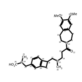 COc1cc2c(cc1OC)CCN(C(=O)CCN(C)CC1Cc3cc(CN(C)C(=O)O)ccc31)CC2